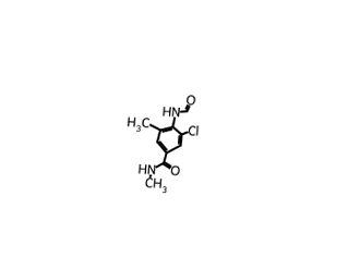 CNC(=O)c1cc(C)c(NC=O)c(Cl)c1